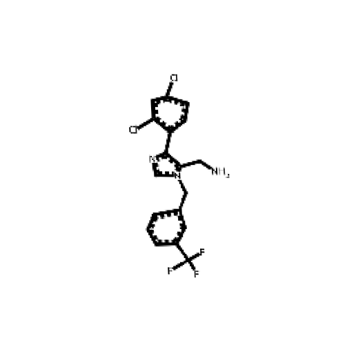 NCc1c(-c2ccc(Cl)cc2Cl)ncn1Cc1cccc(C(F)(F)F)c1